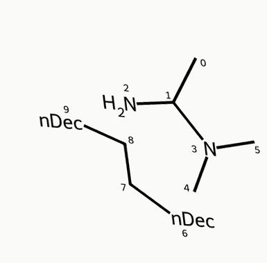 CC(N)N(C)C.CCCCCCCCCCCCCCCCCCCCCC